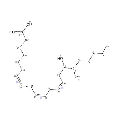 CCCCC[S+]([O-])C(O)C/C=C\C/C=C\C/C=C\CCCCCC(=O)O